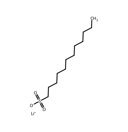 CCCCCCCCCCCCS(=O)(=O)[O-].[Li+]